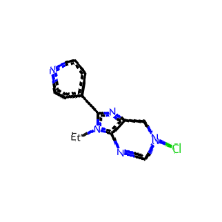 CCn1c(-c2ccncc2)nc2c1N=CN(Cl)C2